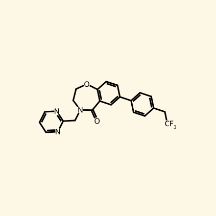 O=C1c2cc(-c3ccc(CC(F)(F)F)cc3)ccc2OCCN1Cc1ncccn1